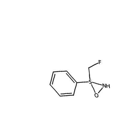 FCS1(c2ccccc2)NO1